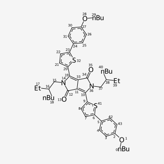 CCCCOc1ccc(-c2ccc(C3=C4C(=O)N(CC(CC)CCCC)C(c5ccc(-c6ccc(OCCCC)cc6)s5)=C4C(=O)N3CC(CC)CCCC)s2)cc1